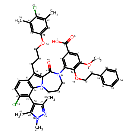 COc1cc(C(=O)O)cc(N2CCCn3c(c(CCCOc4cc(C)c(Cl)c(C)c4)c4ccc(Cl)c(-c5c(C)nn(C)c5C)c43)C2=O)c1OCCc1ccccc1